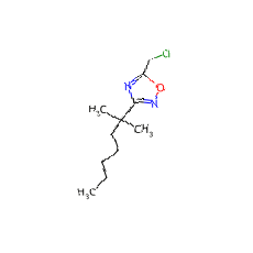 CCCCCC(C)(C)c1noc(CCl)n1